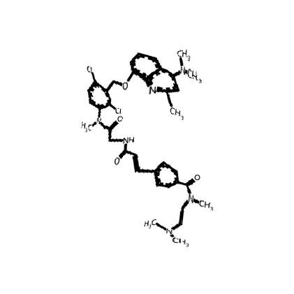 Cc1cc(N(C)C)c2cccc(OCc3c(Cl)ccc(N(C)C(=O)CNC(=O)/C=C/c4ccc(C(=O)N(C)CCN(C)C)cc4)c3Cl)c2n1